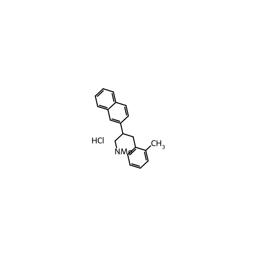 CNCC(Cc1ccccc1C)c1ccc2ccccc2c1.Cl